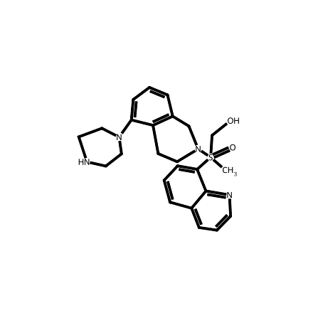 CS(=O)(CO)(c1cccc2cccnc12)N1CCc2c(cccc2N2CCNCC2)C1